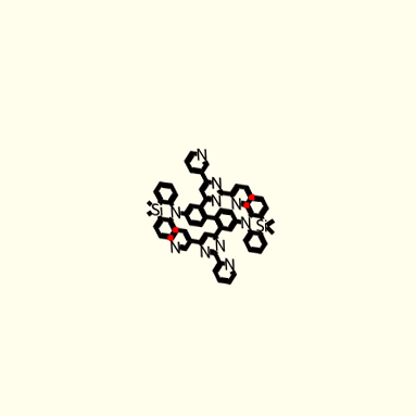 C[Si]1(C)c2ccccc2N(c2ccc(-c3ccc(N4c5ccccc5[Si](C)(C)c5ccccc54)cc3-c3cc(-c4cccnc4)nc(-c4ccccn4)n3)c(-c3cc(-c4cccnc4)nc(-c4ccccn4)n3)c2)c2ccccc21